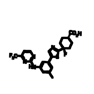 Cc1cc(Nc2nccc(C(F)(F)F)n2)cc(-c2cnc([C@]3(F)CC[C@H](C(=O)O)CC3)s2)c1